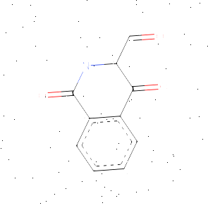 O=[C]C1NC(=O)c2ccccc2C1=O